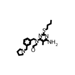 CCCCSc1nc(N)c(C)c(N(CC=O)Cc2cccc(CN3CCCC3)c2)n1